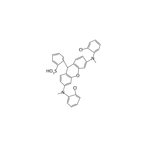 CN(c1ccc2c(c1)Oc1cc(N(C)c3ccccc3Cl)ccc1C2c1ccccc1S(=O)(=O)O)c1ccccc1Cl